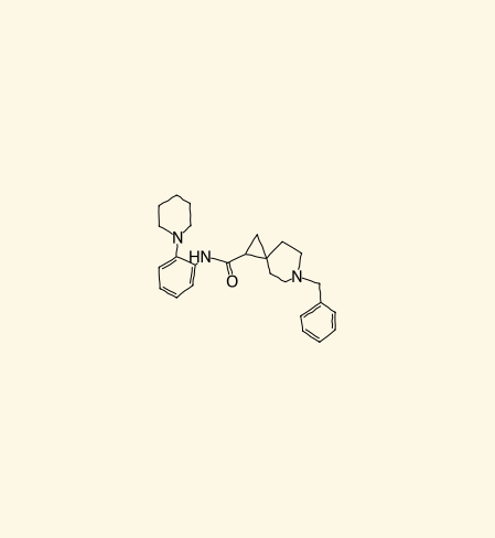 O=C(Nc1ccccc1N1CCCCC1)C1CC12CCN(Cc1ccccc1)CC2